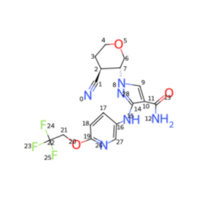 N#C[C@H]1CCOC[C@@H]1n1cc(C(N)=O)c(Nc2ccc(OCC(F)(F)F)nc2)n1